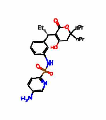 CCCC1(CCC)CC(O)=C([C@@H](CC)c2cccc(NS(=O)(=O)c3ccc(N)cn3)c2)C(=O)O1